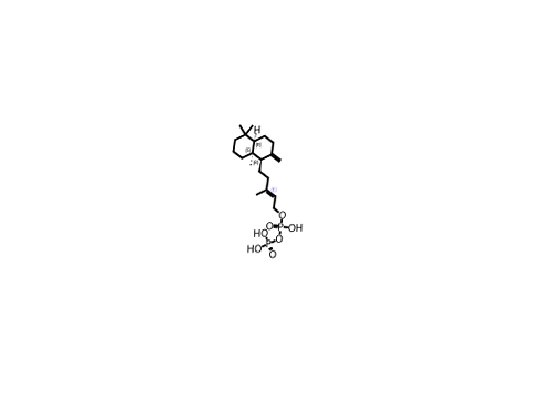 C=C1CC[C@@H]2C(C)(C)CCC[C@]2(C)[C@@H]1CC/C(C)=C/COP(=O)(O)OP(=O)(O)O